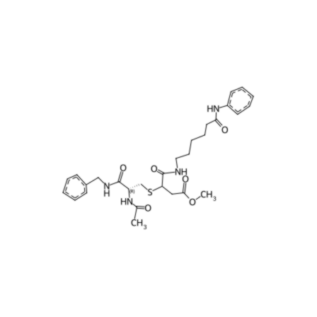 COC(=O)CC(SC[C@H](NC(C)=O)C(=O)NCc1ccccc1)C(=O)NCCCCCC(=O)Nc1ccccc1